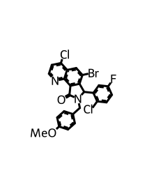 COc1ccc(CN2C(=O)c3c(c(Br)cc4c(Cl)ccnc34)C2c2cc(F)ccc2Cl)cc1